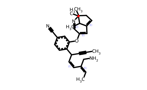 CC#CC(/C=C\C(=C/C)CN)c1ccc(C#N)cc1OC1=C/C(C(C)CC)=C/CC(C)/N=C\1